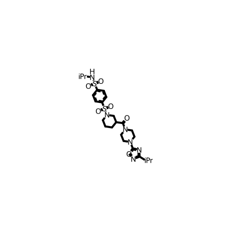 CC(C)NS(=O)(=O)c1ccc(S(=O)(=O)N2CCCC(C(=O)N3CCN(c4nc(C(C)C)no4)CC3)C2)cc1